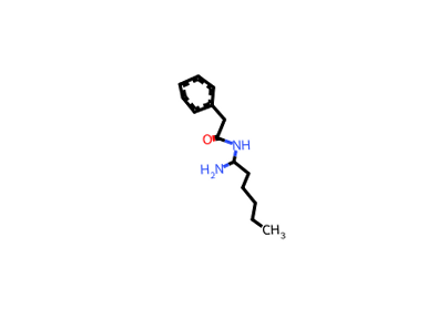 CCCCCC(N)NC(=O)Cc1ccccc1